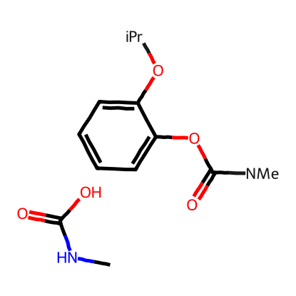 CNC(=O)O.CNC(=O)Oc1ccccc1OC(C)C